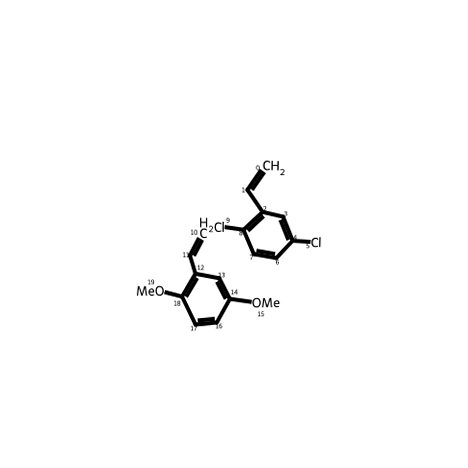 C=Cc1cc(Cl)ccc1Cl.C=Cc1cc(OC)ccc1OC